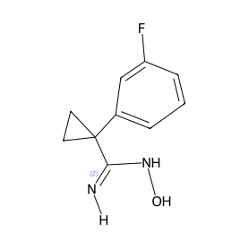 [H]/N=C(\NO)C1(c2cccc(F)c2)CC1